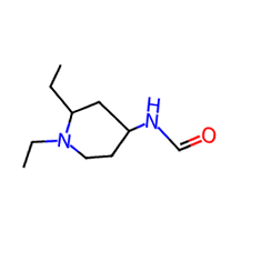 CCC1CC(NC=O)CCN1CC